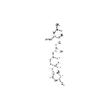 CC(=O)Nc1cc(C(F)(F)F)ccc1OC[C@H](O)CN1CCC2(CC1)Cc1cc(Cl)ccc1O2